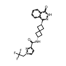 O=C(N[C@H]1CC2(C1)C[C@H](c1n[nH]c(=O)c3ccccc31)C2)c1ccn(CC(F)(F)F)n1